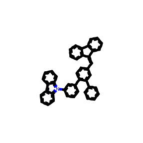 C(=C1c2ccccc2-c2ccccc21)c1ccc(-c2cccc(-n3c4ccccc4c4ccccc43)c2)c(-c2ccccc2)c1